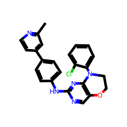 Cc1cc(-c2ccc(Nc3ncc4c(n3)N(c3ccccc3Cl)CCO4)cc2)ccn1